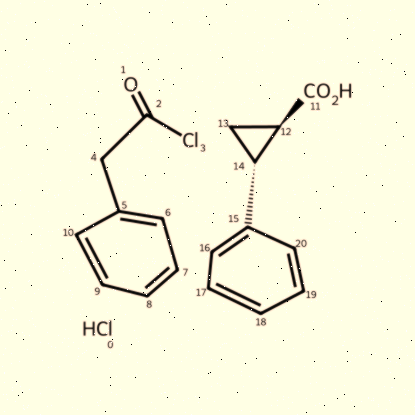 Cl.O=C(Cl)Cc1ccccc1.O=C(O)[C@@H]1C[C@H]1c1ccccc1